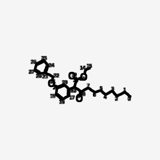 CCCCCCCCC(=O)C(C(=O)OCC)c1cccc(OCc2ccccc2)c1